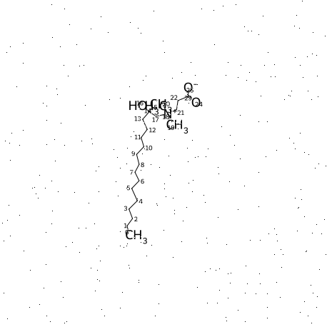 CCCCCCCCCCCCCCC(C)(O)C[N+](C)(C)CCC(=O)[O-]